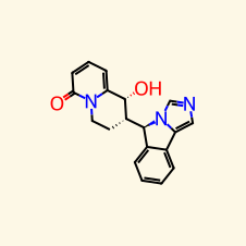 O=c1cccc2n1CC[C@@H]([C@@H]1c3ccccc3-c3cncn31)[C@H]2O